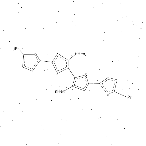 CCCCCCc1cc(-c2ccc(C(C)C)s2)sc1-c1sc(-c2ccc(C(C)C)s2)cc1CCCCCC